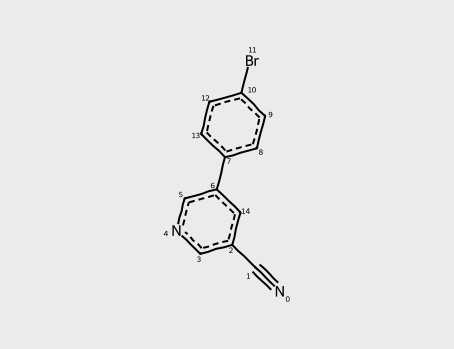 N#Cc1cncc(-c2ccc(Br)cc2)c1